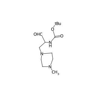 CN1CCN(CC(C=O)NC(=O)OC(C)(C)C)CC1